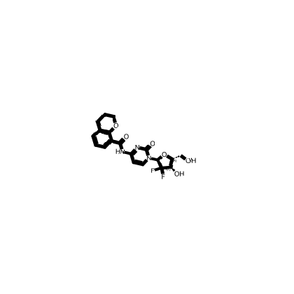 O=C(Nc1ccn(C2O[C@H](CO)[C@@H](O)C2(F)F)c(=O)n1)c1cccc2c1OCCC2